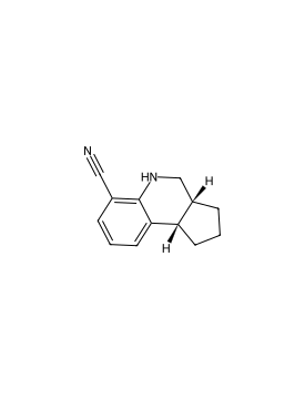 N#Cc1cccc2c1NC[C@@H]1CCC[C@H]21